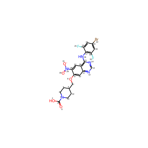 O=C(O)N1CCC(COc2cc3ncnc(Nc4c(F)cc(Br)cc4F)c3cc2[N+](=O)[O-])CC1